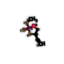 C#CC1COP(=S)(SC)S1